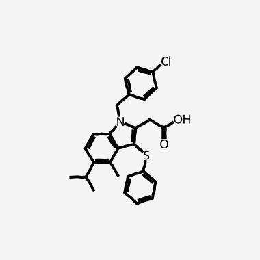 Cc1c(C(C)C)ccc2c1c(Sc1ccccc1)c(CC(=O)O)n2Cc1ccc(Cl)cc1